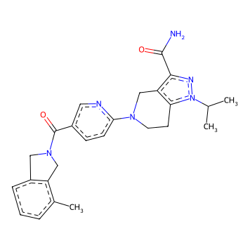 Cc1cccc2c1CN(C(=O)c1ccc(N3CCc4c(c(C(N)=O)nn4C(C)C)C3)nc1)C2